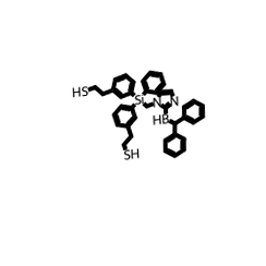 SCCc1cccc([Si](Cn2ccnc2BC(c2ccccc2)c2ccccc2)(c2ccccc2)c2cccc(CCS)c2)c1